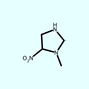 CN1[CH]NCC1[N+](=O)[O-]